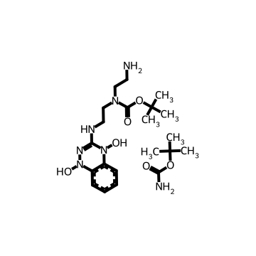 CC(C)(C)OC(=O)N(CCN)CCNC1=NN(O)c2ccccc2N1O.CC(C)(C)OC(N)=O